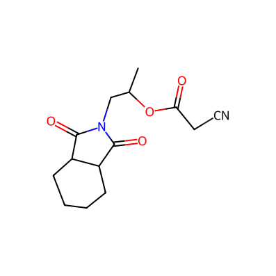 CC(CN1C(=O)C2CCCCC2C1=O)OC(=O)CC#N